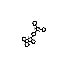 c1ccc(-c2cc(-c3ccccc3)nc(-c3ccc(-c4nc5c6ccccc6c6ncccc6c5c5ccccc45)cc3)n2)cc1